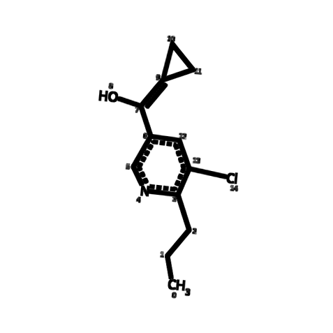 CCCc1ncc(C(O)=C2CC2)cc1Cl